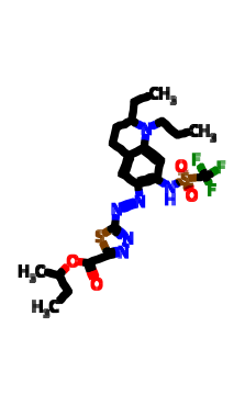 CCCN1c2cc(NS(=O)(=O)C(F)(F)F)c(N=Nc3nnc(C(=O)OC(C)CC)s3)cc2CCC1CC